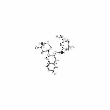 Cc1ccc2nc(N3CCNC(=O)C3)c(CNc3nc(C)nc(N)n3)cc2c1